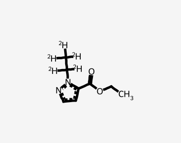 [2H]C([2H])([2H])C([2H])([2H])n1nccc1C(=O)OCC